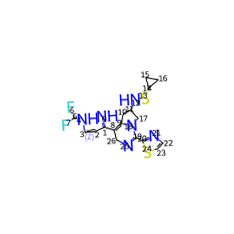 N=C(/C=C\NC(F)F)C1=C2CC(NSC3CC3)CN2C(c2nccs2)=NC1